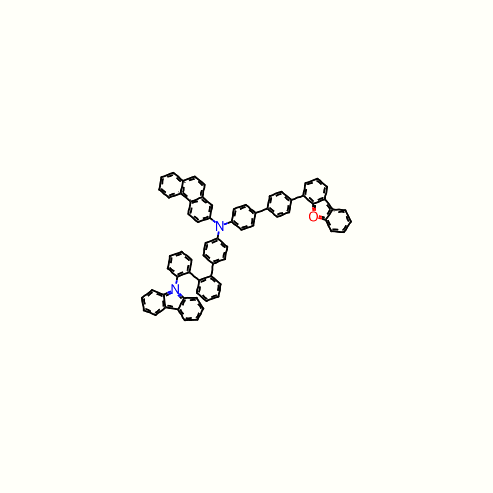 c1ccc(-c2ccccc2-n2c3ccccc3c3ccccc32)c(-c2ccc(N(c3ccc(-c4ccc(-c5cccc6c5oc5ccccc56)cc4)cc3)c3ccc4c(ccc5ccccc54)c3)cc2)c1